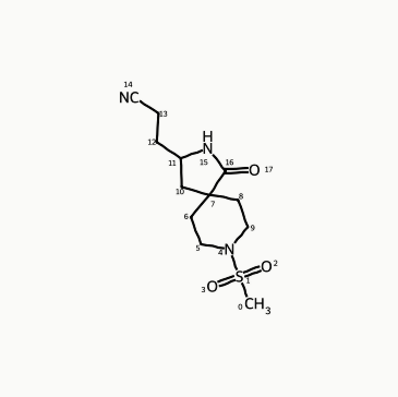 CS(=O)(=O)N1CCC2(CC1)CC(CCC#N)NC2=O